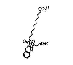 CCCCCCCCCCCC(=O)N[C@H](Cc1ccccc1)C(=O)NCCCCCCCCCCC(=O)O